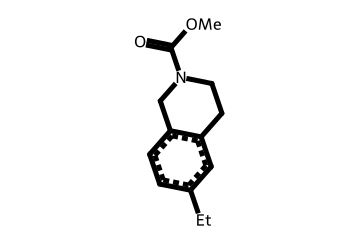 CCc1ccc2c(c1)CCN(C(=O)OC)C2